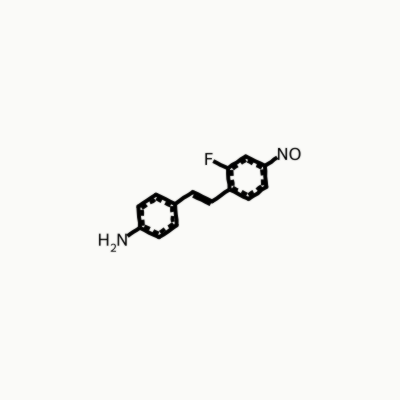 Nc1ccc(/C=C/c2ccc(N=O)cc2F)cc1